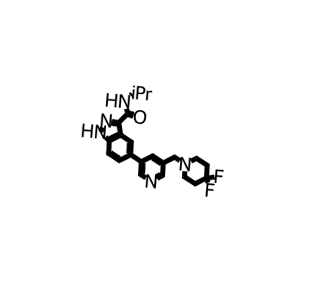 CC(C)NC(=O)c1n[nH]c2ccc(-c3cncc(CN4CCC(F)(F)CC4)c3)cc12